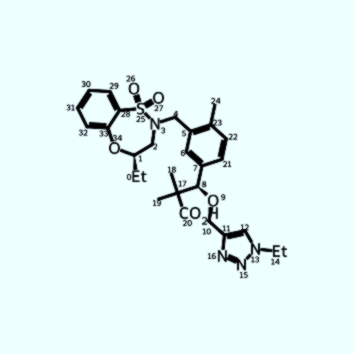 CC[C@@H]1CN(Cc2cc([C@@H](OCc3cn(CC)nn3)C(C)(C)C(=O)O)ccc2C)S(=O)(=O)c2ccccc2O1